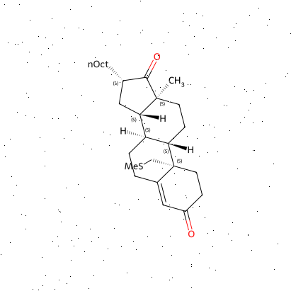 CCCCCCCC[C@H]1C[C@H]2[C@@H]3CCC4=CC(=O)CC[C@]4(CSC)[C@H]3CC[C@]2(C)C1=O